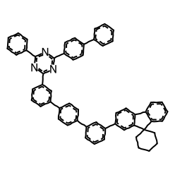 c1ccc(-c2ccc(-c3nc(-c4ccccc4)nc(-c4cccc(-c5ccc(-c6cccc(-c7ccc8c(c7)C7(CCCCC7)c7ccccc7-8)c6)cc5)c4)n3)cc2)cc1